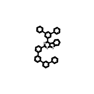 c1ccc(-c2cccc(-c3cccc(-c4cccc(-c5nc(-c6cc(-c7ccccc7)cc(-c7ccccc7)c6)c6c(n5)sc5ccccc56)c4)c3)c2)cc1